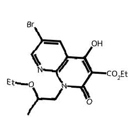 CCOC(=O)c1c(O)c2cc(Br)cnc2n(CC(C)OCC)c1=O